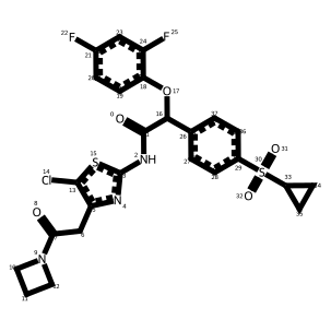 O=C(Nc1nc(CC(=O)N2CCC2)c(Cl)s1)C(Oc1ccc(F)cc1F)c1ccc(S(=O)(=O)C2CC2)cc1